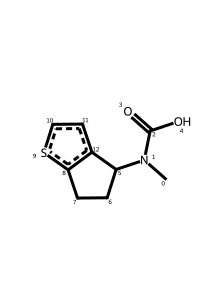 CN(C(=O)O)C1CCc2sccc21